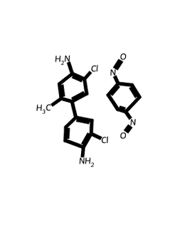 Cc1cc(N)c(Cl)cc1-c1ccc(N)c(Cl)c1.O=Nc1ccc(N=O)cc1